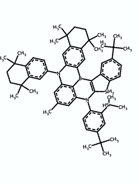 Cc1cc2c3c(c1)N(c1ccc4c(c1)C(C)(C)CCC4(C)C)c1cc4c(cc1B3C1=C([SiH2]c3ccc(C(C)(C)C)cc31)N2c1ccc(C(C)(C)C)cc1[SiH](C)C)C(C)(C)CCC4(C)C